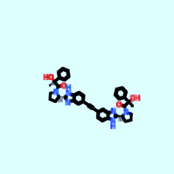 C[C@@](O)(C(=O)N1CCC[C@H]1c1nc2cc(C#Cc3ccc4[nH]c([C@@H]5CCCN5C(=O)[C@@](C)(O)c5ccccc5)nc4c3)ccc2[nH]1)c1ccccc1